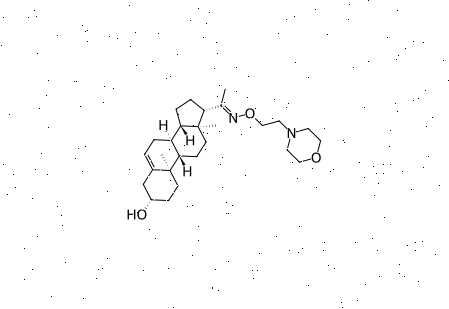 CC(=NOCCN1CCOCC1)[C@H]1CC[C@H]2[C@@H]3CC=C4C[C@@H](O)CC[C@]4(C)[C@H]3CC[C@]12C